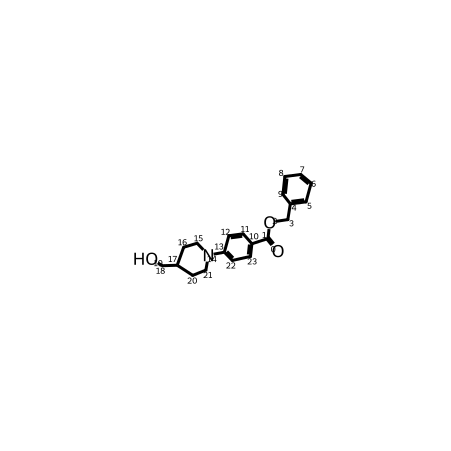 O=C(OCc1ccccc1)c1ccc(N2CCC(CO)CC2)cc1